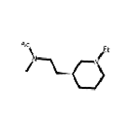 [CH2]CN1CCC[C@@H](CCN(C)C(C)=O)C1